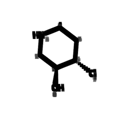 O[C@H]1CNCC[C@@H]1Cl